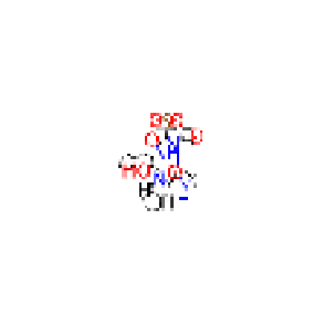 Cc1occc1N[C@H](C(=O)NC(Cc1ccccc1)C(O)CN1C[C@H]2CCCC[C@H]2CC1C(=O)NC(C)(C)C)C(C)(C)S(C)(=O)=O